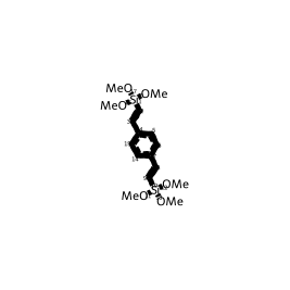 CO[Si](C=Cc1ccc(C=C[Si](OC)(OC)OC)cc1)(OC)OC